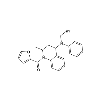 CC(C)CN(c1ccccc1)C1CC(C)N(C(=O)c2ccco2)c2ccccc21